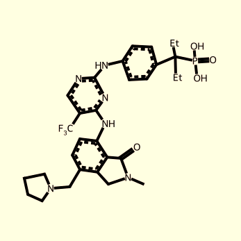 CCC(CC)(c1ccc(Nc2ncc(C(F)(F)F)c(Nc3ccc(CN4CCCC4)c4c3C(=O)N(C)C4)n2)cc1)P(=O)(O)O